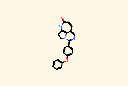 O=C1C=CC2=CN=C(c3ccc(Oc4ccccc4)cc3)N3CCC(=C23)N1